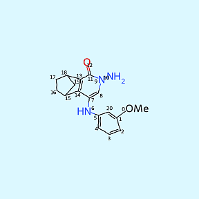 COc1cccc(Nc2cn(N)c(=O)c3c2C2CCC3C2)c1